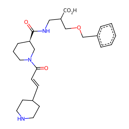 O=C(O)C(CNC(=O)[C@@H]1CCCN(C(=O)/C=C/C2CCNCC2)C1)COCc1ccccc1